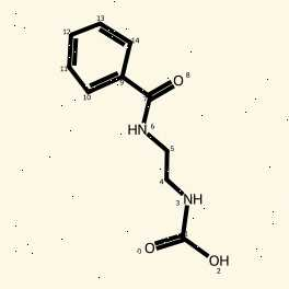 O=C(O)NCCNC(=O)c1ccccc1